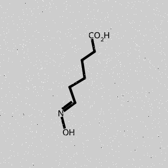 O=C(O)CCCC/C=N/O